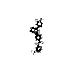 CCN1CCC(C2=C3C=NC=C[N+]3(N)C(c3ccc(C(=O)Nc4cc(C(F)(F)F)ccn4)cc3)=N2)CC1=O